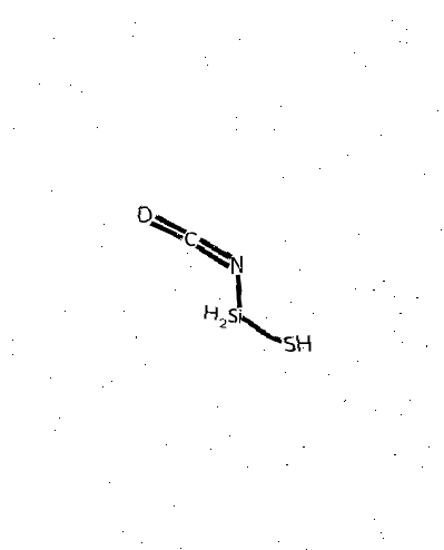 O=C=N[SiH2]S